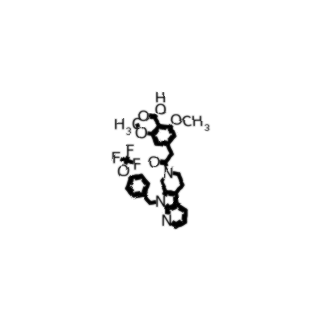 COc1cc(CC(=O)N2CCc3c(n(Cc4ccc(OC(F)(F)F)cc4)c4ncccc34)C2)cc(OC)c1C(=O)O